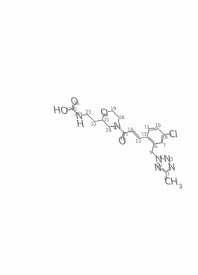 Cc1nnn(Cc2cc(Cl)ccc2C=CC(=O)N2CCOC(CCNC(=O)O)C2)n1